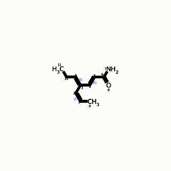 C\C=C/C(/C=C/C(N)=O)=C\CC